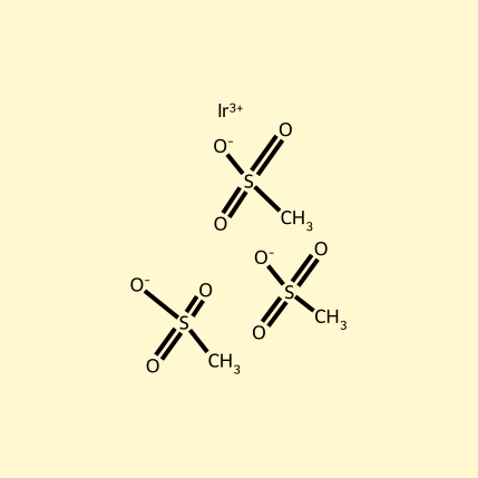 CS(=O)(=O)[O-].CS(=O)(=O)[O-].CS(=O)(=O)[O-].[Ir+3]